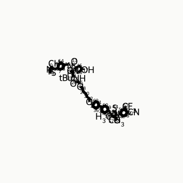 Cc1ncsc1-c1ccc(CNC(=O)[C@@H]2C[C@@H](O)CN2C(=O)[C@@H](NC(=O)COCCCCCOc2ccc(-c3ccc(N4C(=S)N(c5ccc(C#N)c(C(F)(F)F)c5)C(=O)C4(C)C)cc3)cc2)C(C)(C)C)cc1